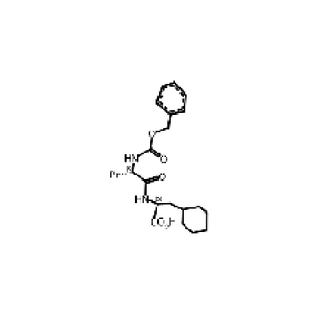 CC(C)[C@H](NC(=O)OCc1ccccc1)C(=O)N[C@@H](CC1CCCCC1)C(=O)O